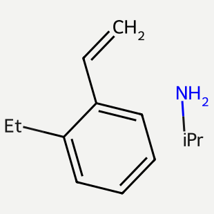 C=Cc1ccccc1CC.CC(C)N